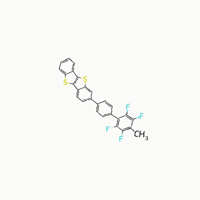 Cc1c(F)c(F)c(-c2ccc(-c3ccc4c(c3)sc3c5ccccc5sc43)cc2)c(F)c1F